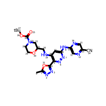 Cc1nnc(-c2nnc(Nc3cnc(C#N)cn3)cc2NCC2CN(C(=O)OC(C)(C)C)CCO2)o1